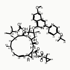 CCC(C)N(C(=O)O)[C@@H]1C(=O)N2[C@@H](C[C@@](C)(Oc3nc(-c4ccc(OC(C)C)cn4)cc4cc(OC)ccc34)C2(F)F)C(=O)N[C@]2(C(=O)NS(=O)(=O)C3(C)CC3)C[C@H]2/C=C\CC[C@@H](C)C[C@H]1C